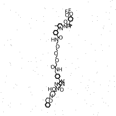 Cc1ccc(NC(=O)C2(c3ccc4c(c3)OC(F)(F)O4)CC2)nc1-c1cccc(C(=O)NCCOCCOCCOCCC(=O)NCc2ccc(-c3c4ncn(CC5(O)CCN(C(=O)C[C@@H](C)c6ccccc6)CC5)c(=O)c4nn3C)cc2)c1